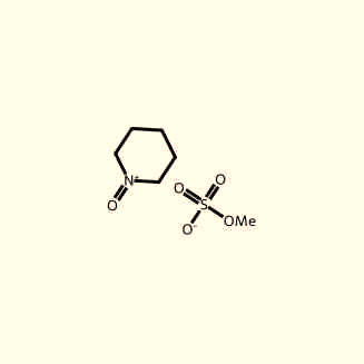 COS(=O)(=O)[O-].O=[N+]1CCCCC1